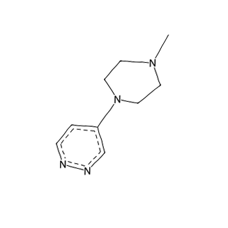 CN1CCN(c2ccnnc2)CC1